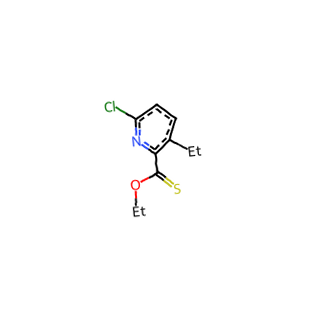 CCOC(=S)c1nc(Cl)ccc1CC